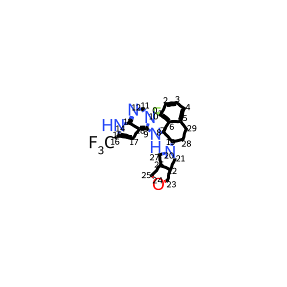 Fc1cccc2c1C(Nc1ncnc3[nH]c(C(F)(F)F)cc13)C(N1CC3COCC3C1)CC2